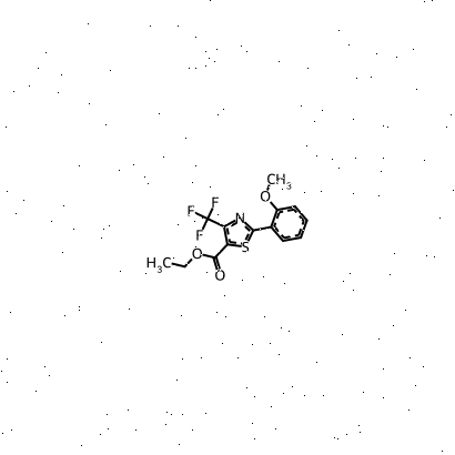 CCOC(=O)c1sc(-c2ccccc2OC)nc1C(F)(F)F